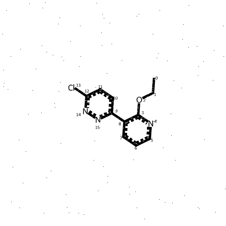 CCOc1ncccc1-c1ccc(Cl)nn1